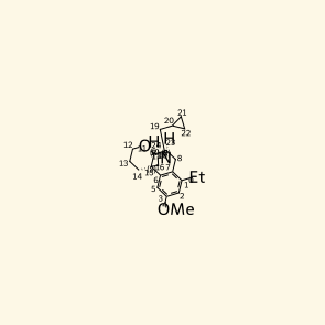 CCc1cc(OC)cc2c1C[C@@H]1[C@@H]3OCCC[C@]23CCN1CC1CC1